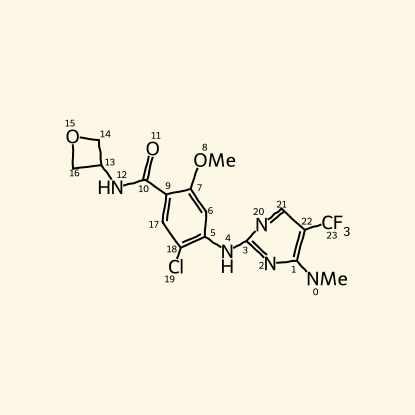 CNc1nc(Nc2cc(OC)c(C(=O)NC3COC3)cc2Cl)ncc1C(F)(F)F